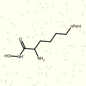 CCCCCCCCCC(N)C(=O)NO